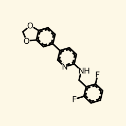 Fc1cccc(F)c1CNc1ccc(-c2ccc3c(c2)OCO3)cn1